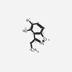 CCc1noc2ccc(Br)c(O)c12